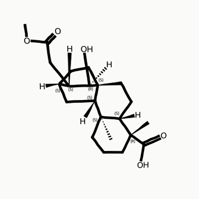 COC(=O)C[C@H]1[C@H]2CC[C@@]3(CC[C@H]4[C@@](C)(CCC[C@@]4(C)C(=O)O)[C@@H]3C2)[C@@H]1O